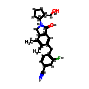 Cc1c(Cc2ccc(C#N)cc2F)cc2c(c1C)CN([C@H]1CCC[C@@H]1CO)C2=O